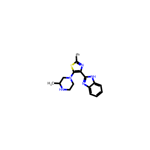 CC1CN(c2sc(C(C)C)nc2-c2nc3ccccc3[nH]2)CCN1